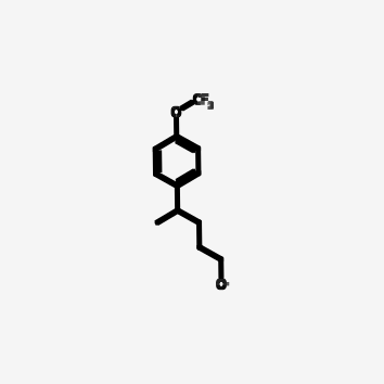 CC(CCC[O])c1ccc(OC(F)(F)F)cc1